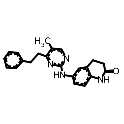 Cc1cnc(Nc2ccc3c(c2)CCC(=O)N3)nc1CCc1ccccc1